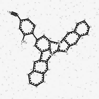 Cc1cc(C#N)ccc1-c1cc2c3cc4ccccc4cc3n3c2c(c1)n1c2cc4ccccc4cc2nc13